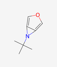 CC(C)(C)N1c2cocc21